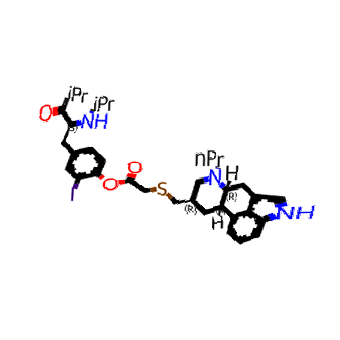 CCCN1C[C@H](CSCC(=O)Oc2ccc(C[C@H](NC(C)C)C(=O)C(C)C)cc2I)C[C@@H]2c3cccc4[nH]cc(c34)C[C@H]21